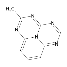 CC1=NC2=CC=CC3=NC=NC(=N1)N23